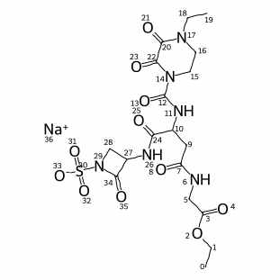 CCOC(=O)CNC(=O)CC(NC(=O)N1CCN(CC)C(=O)C1=O)C(=O)NC1CN(S(=O)(=O)[O-])C1=O.[Na+]